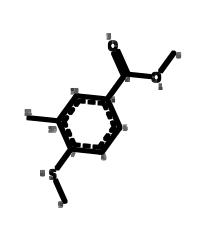 COC(=O)c1ccc(SC)c(C)c1